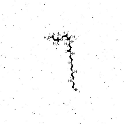 CC(N)CC(C)(C)OCC(C)C(C)(C)NCCC(=O)NCCNCCNCCNCCN